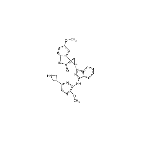 COc1ccc2c(c1)[C@@]1(C[C@@H]1n1nc(Nc3nc(C4CNC4)cnc3OC)c3ccccc31)C(=O)N2